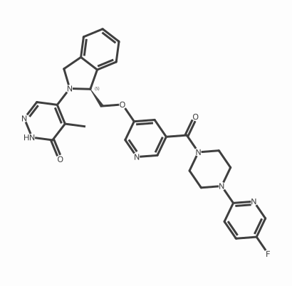 Cc1c(N2Cc3ccccc3[C@H]2COc2cncc(C(=O)N3CCN(c4ccc(F)cn4)CC3)c2)cn[nH]c1=O